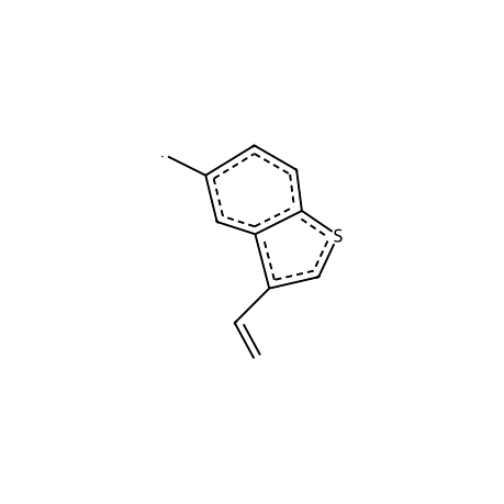 [CH2]c1ccc2scc(C=C)c2c1